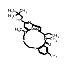 CCC1c2cc3nc(NCC(C)(C)N)cc(n3n2)N(C)CCCCCc2ccc(C)cc2C(=O)N1C